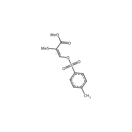 COC(=O)/C(=C\OS(=O)(=O)c1ccc(C)cc1)SC